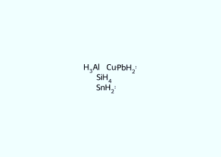 [AlH3].[Cu].[PbH2].[SiH4].[SnH2]